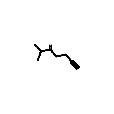 C#CCCNC(C)C